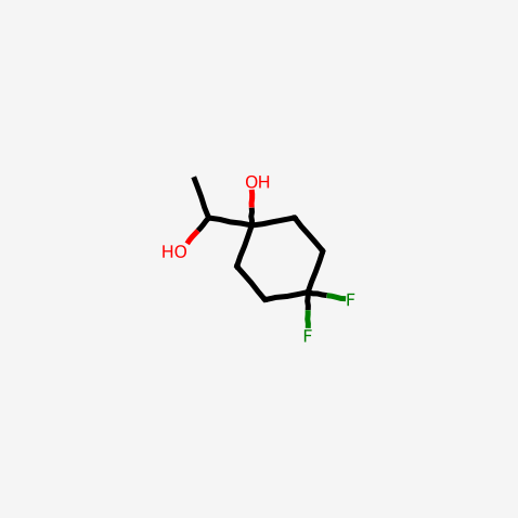 CC(O)C1(O)CCC(F)(F)CC1